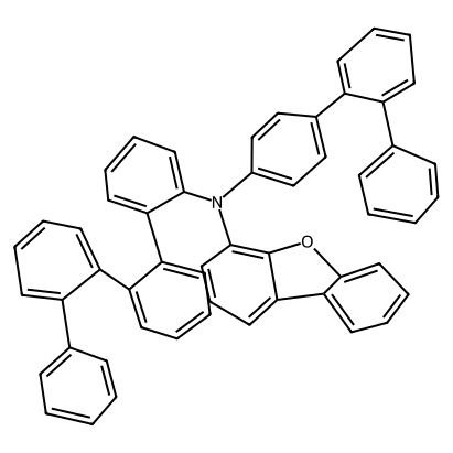 c1ccc(-c2ccccc2-c2ccc(N(c3ccccc3-c3ccccc3-c3ccccc3-c3ccccc3)c3cccc4c3oc3ccccc34)cc2)cc1